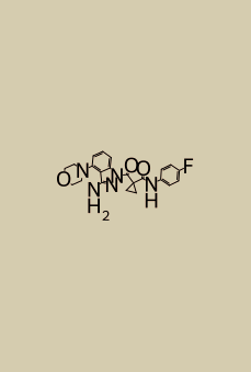 Nc1nn(C(=O)C2(C(=O)Nc3ccc(F)cc3)CC2)c2cccc(N3CCOCC3)c12